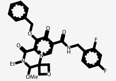 CCN1C(=O)c2c(OCc3ccccc3)c(=O)c(C(=O)NCc3ccc(F)cc3F)cn2C2(COC2)C1OC